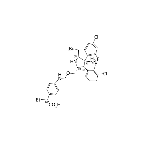 CC[C@H](C(=O)O)c1ccc(NCOC[C@@H]2N[C@@H](CC(C)(C)C)[C@](N)(c3ccc(Cl)cc3F)[C@H]2c2cccc(Cl)c2F)cc1